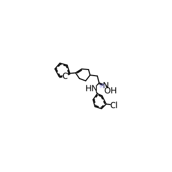 O/N=C(/CC1CC=C(c2ccccc2)CC1)Nc1cccc(Cl)c1